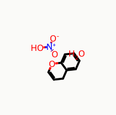 C1=COc2ccccc2C1.O.O=[N+]([O-])O